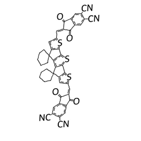 N#Cc1cc2c(cc1C#N)C(=O)C(=Cc1cc3c(s1)-c1sc4c(c1C31CCCCC1)C1(CCCCC1)c1cc(C=C3C(=O)c5cc(C#N)c(C#N)cc5C3=O)sc1-4)C2=O